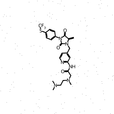 C=C1C(=O)N(c2ccc(SC(F)(F)F)cc2)C(=O)N1Cc1ccnc(NC(=O)CN(C)CCN(C)C)c1